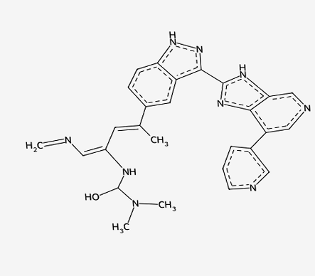 C=N/C=C(\C=C(/C)c1ccc2[nH]nc(-c3nc4c(-c5cccnc5)cncc4[nH]3)c2c1)NC(O)N(C)C